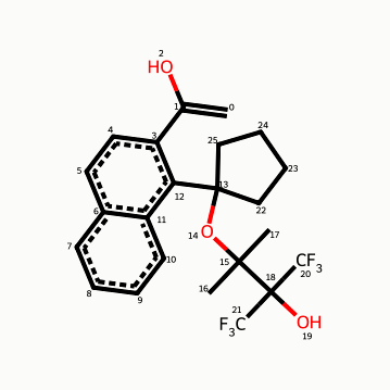 C=C(O)c1ccc2ccccc2c1C1(OC(C)(C)C(O)(C(F)(F)F)C(F)(F)F)CCCC1